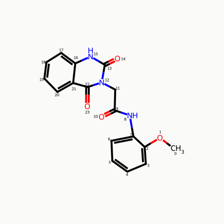 COc1ccccc1NC(=O)Cn1c(=O)[nH]c2ccccc2c1=O